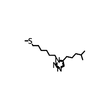 CSCCCCCCn1nncc1CCCC(C)C